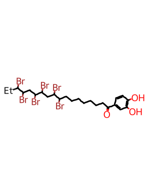 CCC(Br)C(Br)CC(Br)C(Br)CC(Br)C(Br)CCCCCCCC(=O)c1ccc(O)c(O)c1